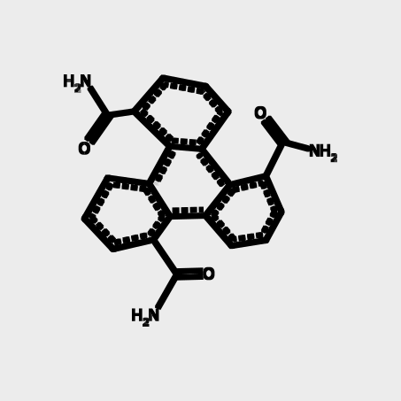 NC(=O)c1cccc2c1c1cccc(C(N)=O)c1c1cccc(C(N)=O)c21